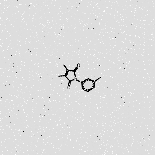 CC1=C(C)C(=O)N(c2cccc(C)c2)C1=O